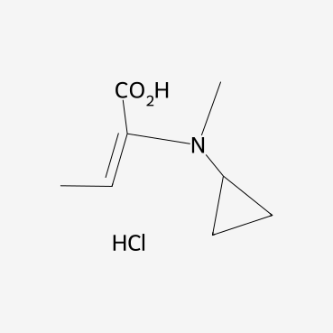 CC=C(C(=O)O)N(C)C1CC1.Cl